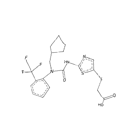 O=C(O)CSc1cnc(NC(=O)N(CC2CCCC2)c2ccccc2C(F)(F)F)s1